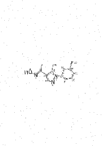 CC(=NO)c1cnn(-c2cccc(F)c2)c1C